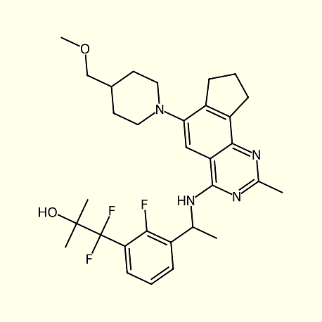 COCC1CCN(c2cc3c(NC(C)c4cccc(C(F)(F)C(C)(C)O)c4F)nc(C)nc3c3c2CCC3)CC1